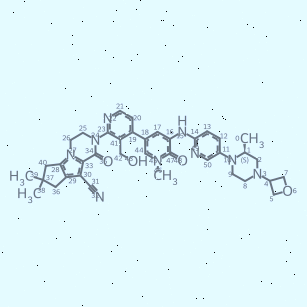 C[C@H]1CN(C2COC2)CCN1c1ccc(Nc2cc(-c3ccnc(N4CCn5c6c(c(C#N)c5C4=O)CC(C)(C)C6)c3CO)cn(C)c2=O)nc1